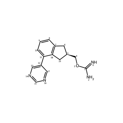 N=C(N)OC[C@@H]1Cc2cccc(-c3cncnc3)c2C1